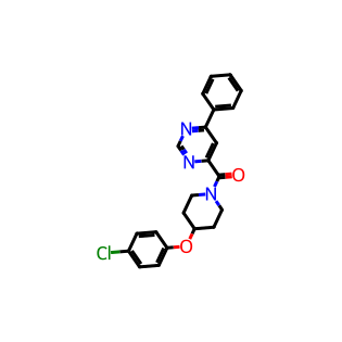 O=C(c1cc(-c2ccccc2)ncn1)N1CCC(Oc2ccc(Cl)cc2)CC1